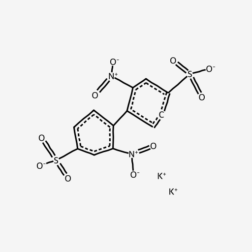 O=[N+]([O-])c1cc(S(=O)(=O)[O-])ccc1-c1ccc(S(=O)(=O)[O-])cc1[N+](=O)[O-].[K+].[K+]